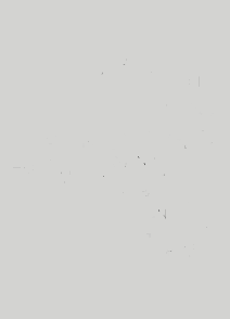 O=C(O)Oc1cc2c(s1)c(C1CCCCC1)c(-c1cccc(Cl)c1)n2CC(=O)N1CCOCC1